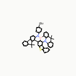 CC(C)(C)c1ccc(N2B3c4cccc5c4N(c4ccccc4C5(C)C)c4c3c(cc3sc5ccccc5c43)-c3c2ccc2c3C(C)(C)c3ccccc3-2)cc1